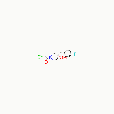 O=C(CCl)N1CCC(O)(Cc2ccc(F)cc2)CC1